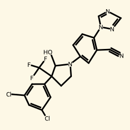 N#Cc1cc(N2CCC(c3cc(Cl)cc(Cl)c3)(C(F)(F)F)C2O)ccc1-n1cncn1